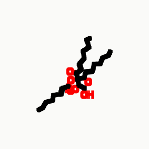 CCCCCC=CC(=O)OC(C(=O)C=CCCCCC)(C(=O)C=CCCCCC)C(O)CO